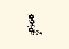 CCN1CCN(C(=O)C2(C)CCCC(NC(=O)c3ccc(-c4cccc(F)c4)nc3)C2)CC1